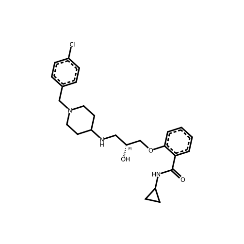 O=C(NC1CC1)c1ccccc1OC[C@H](O)CNC1CCN(Cc2ccc(Cl)cc2)CC1